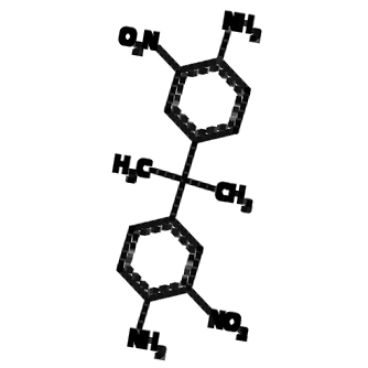 CC(C)(c1ccc(N)c([N+](=O)[O-])c1)c1ccc(N)c([N+](=O)[O-])c1